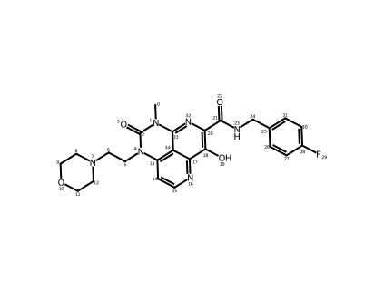 CN1C(=O)N(CCN2CCOCC2)c2ccnc3c(O)c(C(=O)NCc4ccc(F)cc4)nc1c23